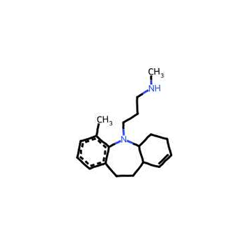 CNCCCN1c2c(C)cccc2CCC2C=CCCC21